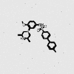 COc1ccc(NS(=O)(=O)c2ccc(-c3ccc(C)cc3)cc2)cc1N1CC(C)NC(C)C1